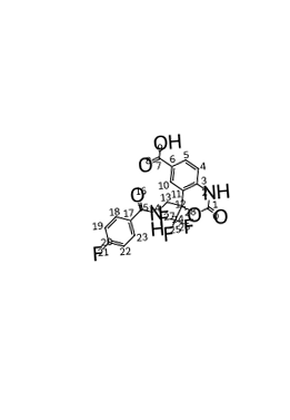 O=C1Nc2ccc(C(=O)O)cc2C(CNC(=O)c2ccc(F)cc2)(C(F)(F)F)O1